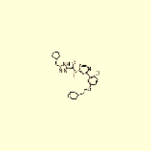 O=C(Nc1cc(-c2cc(OCCC3CCOCC3)ccc2Cl)ncn1)c1nnc(CC2CCCC2)[nH]1